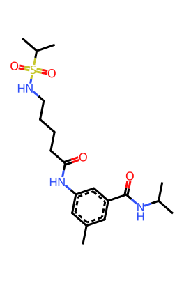 Cc1cc(NC(=O)CCCCNS(=O)(=O)C(C)C)cc(C(=O)NC(C)C)c1